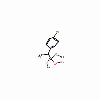 CCO[Si](OCC)(OCC)C(C)c1ccc(Br)cc1